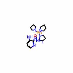 Nc1cccnc1N(N)O[PH](N1CCCC1)(N1CCCC1)N1CCCC1